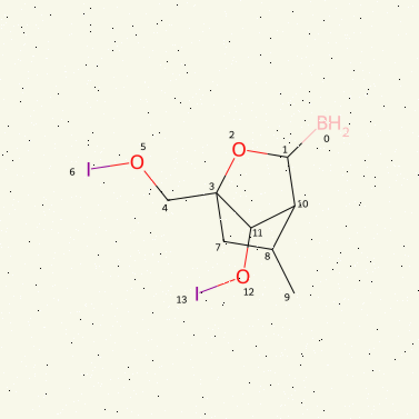 BC1OC2(COI)CC(C)C1C2OI